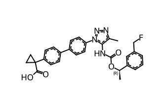 Cc1nnn(-c2ccc(-c3ccc(C4(C(=O)O)CC4)cc3)cc2)c1NC(=O)O[C@H](C)c1cccc(CF)c1